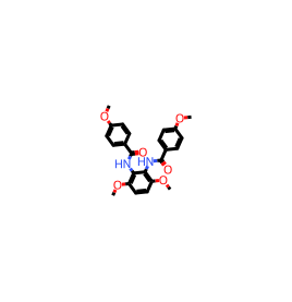 COc1ccc(C(=O)Nc2c(OC)ccc(OC)c2NC(=O)c2ccc(OC)cc2)cc1